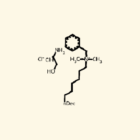 CCCCCCCCCCCCCCCC[N+](C)(C)Cc1ccccc1.Cl.NCCO.[Cl-]